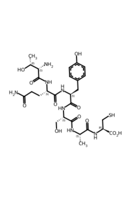 C[C@H](NC(=O)[C@H](CO)NC(=O)[C@H](Cc1ccc(O)cc1)NC(=O)[C@H](CCC(N)=O)NC(=O)[C@@H](N)[C@@H](C)O)C(=O)N[C@@H](CS)C(=O)O